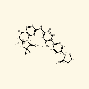 COc1nc(Nc2cnc3c(c2)N2C(=O)C4(CC4)C[C@H]2CO3)ncc1-c1ccc(N2CCCC2=O)cc1